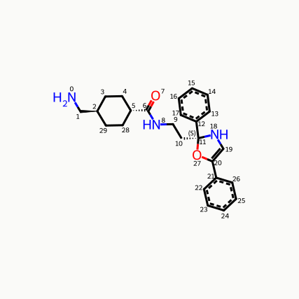 NC[C@H]1CC[C@H](C(=O)NCC[C@]2(c3ccccc3)NC=C(c3ccccc3)O2)CC1